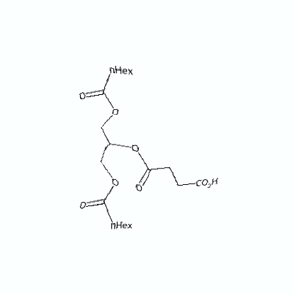 CCCCCCC(=O)OCC(COC(=O)CCCCCC)OC(=O)CCC(=O)O